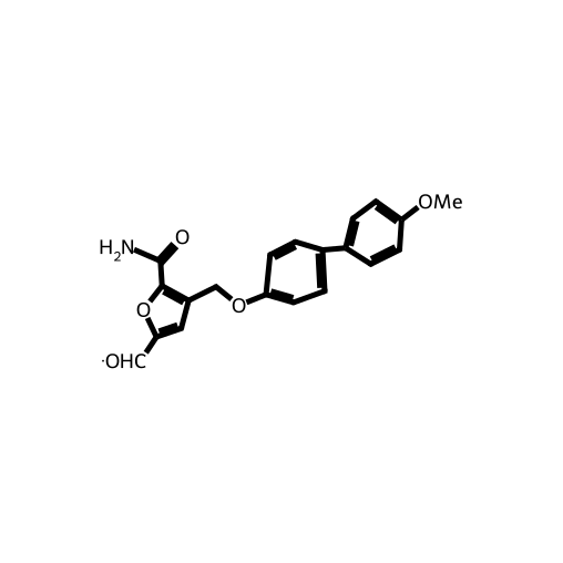 COc1ccc(-c2ccc(OCc3cc([C]=O)oc3C(N)=O)cc2)cc1